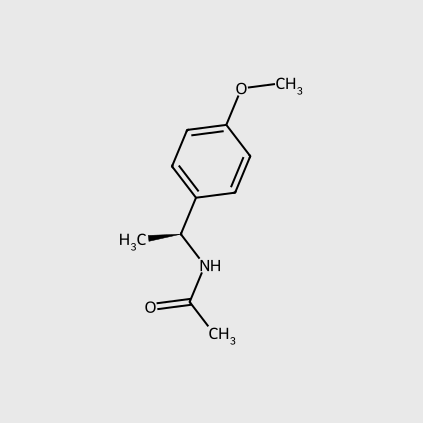 COc1ccc([C@H](C)NC(C)=O)cc1